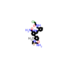 Cc1c(-c2ccc(C(N)=O)c3[nH]c(-c4ccccc4CNC(=O)CCl)cc23)cccc1N1C=CSC1C(N)=O